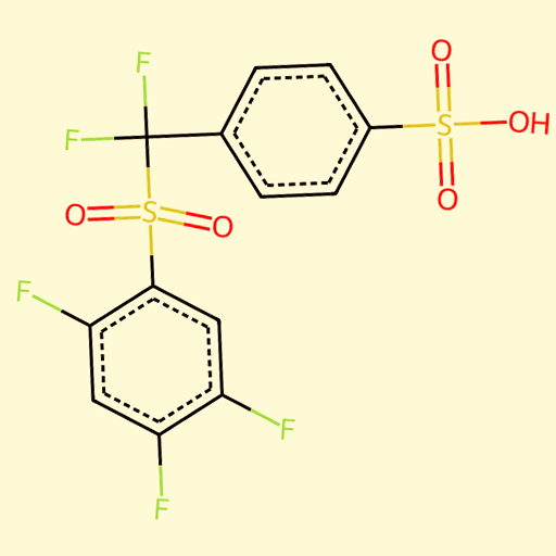 O=S(=O)(O)c1ccc(C(F)(F)S(=O)(=O)c2cc(F)c(F)cc2F)cc1